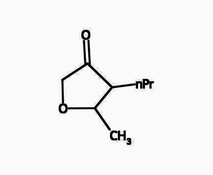 CCCC1C(=O)COC1C